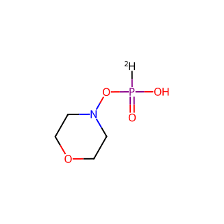 [2H]P(=O)(O)ON1CCOCC1